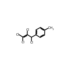 Cc1ccc(C(Cl)C(Cl)=C(Cl)Cl)cc1